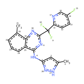 Cc1cc(Nc2nc(C(F)(F)c3ccc(F)cn3)nc3c(C(F)(F)F)cccc23)n[nH]1